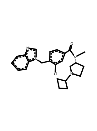 CN(C(=O)c1ccc(Cn2cnc3ccccc32)c(Cl)c1)[C@@H]1CCN(C2CCC2)C1